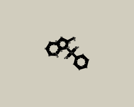 O=S(=O)(c1ccccc1)n1c(Br)cc2cccnc21